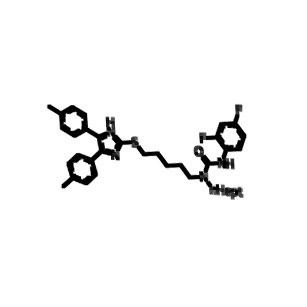 CCCCCCCN(CCCCCSc1nc(-c2ccc(C)cc2)c(-c2ccc(C)cc2)[nH]1)C(=O)Nc1ccc(F)cc1F